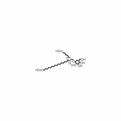 CCCCCCCCCCCCCCCCCCCCCCCCCC(=O)N[C@H](CCCCCCCCCCCCCCCC)COC1CC(CO)C(O)C(O)C1O